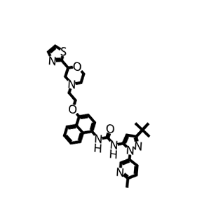 Cc1ccc(-n2nc(C(C)(C)C)cc2NC(=O)Nc2ccc(OCCN3CCOC(c4nccs4)C3)c3ccccc23)cn1